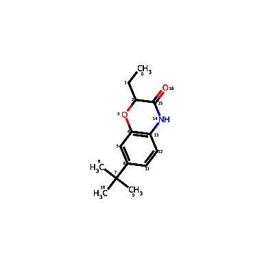 CCC1Oc2cc(C(C)(C)C)ccc2NC1=O